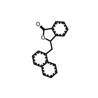 O=C1OC(Cc2cccc3ccccc23)c2ccccc21